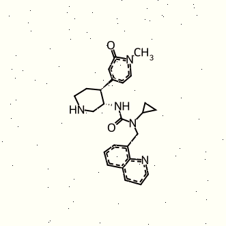 Cn1ccc([C@@H]2CCNC[C@H]2NC(=O)N(Cc2cccc3cccnc23)C2CC2)cc1=O